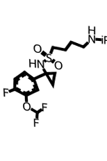 CC(C)NCCCCS(=O)(=O)NC1(c2ccc(F)c(OC(F)F)c2)CC1